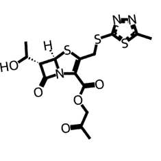 CC(=O)COC(=O)C1=C(CSc2nnc(C)s2)S[C@@H]2[C@@H](C(C)O)C(=O)N12